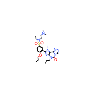 CCCOc1ccc(S(=O)(=O)N(CC)CCN(C)C)cc1-c1nc2c([nH]1)c1nncn1c(=O)n2CCC